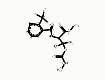 CNC(=O)OC(C)(C)C(NC(=O)c1ccccc1C(F)(F)F)C(=O)NC